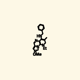 CCN1CC(C)=C(NCc2ccccc2)C2=C1N1CN(OC)C=C1C=N2